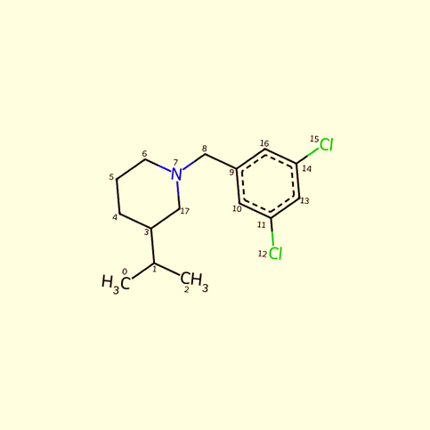 CC(C)C1CCCN(Cc2cc(Cl)cc(Cl)c2)C1